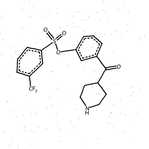 O=C(c1cccc(OS(=O)(=O)c2cccc(C(F)(F)F)c2)c1)C1CCNCC1